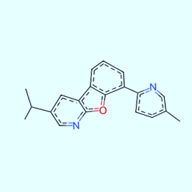 Cc1ccc(-c2cccc3c2oc2ncc(C(C)C)cc23)nc1